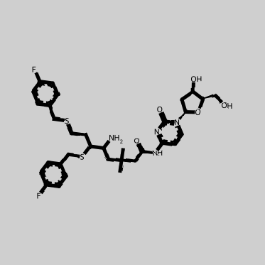 CC(C)(CC(=O)Nc1ccn([C@H]2CC(O)[C@@H](CO)O2)c(=O)n1)CC(N)C(CCSCc1ccc(F)cc1)SCc1ccc(F)cc1